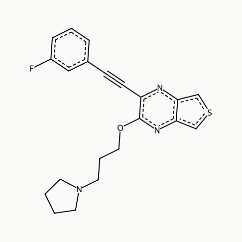 Fc1cccc(C#Cc2nc3cscc3nc2OCCCN2CCCC2)c1